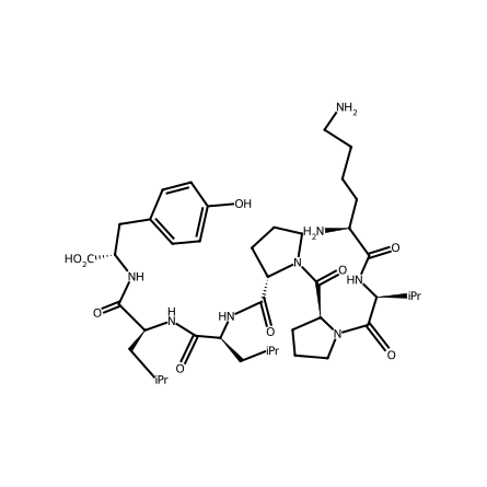 CC(C)C[C@H](NC(=O)[C@H](CC(C)C)NC(=O)[C@@H]1CCCN1C(=O)[C@@H]1CCCN1C(=O)[C@@H](NC(=O)[C@@H](N)CCCCN)C(C)C)C(=O)N[C@@H](Cc1ccc(O)cc1)C(=O)O